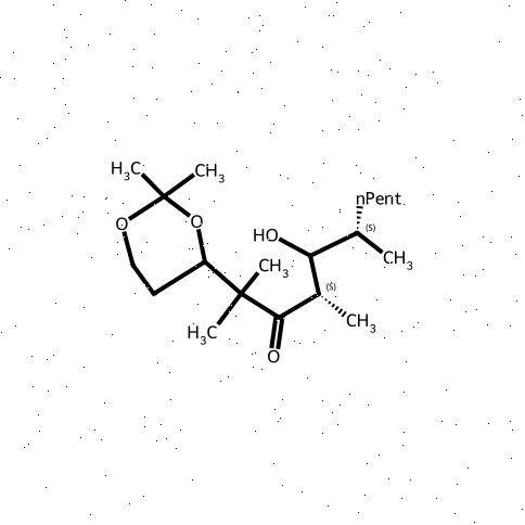 CCCCC[C@H](C)C(O)[C@H](C)C(=O)C(C)(C)C1CCOC(C)(C)O1